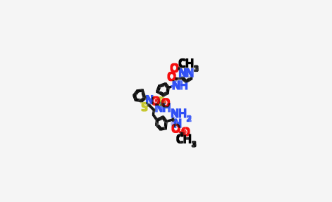 CC(=O)O/N=C(/N)c1cccc(CC(NS(=O)(=O)c2cccc(NC(=O)c3ccnn3C(C)=O)c2)c2nc3ccccc3s2)c1